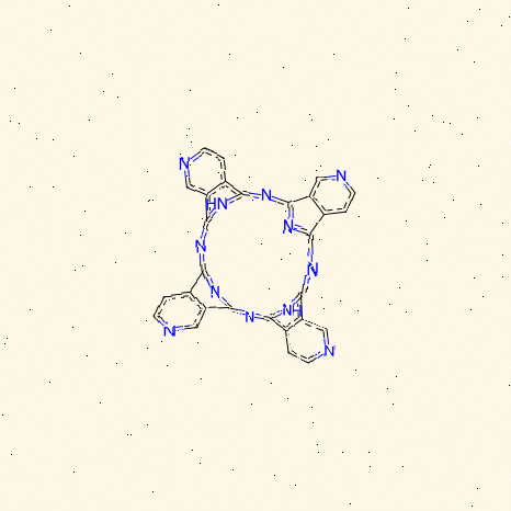 c1cc2c(cn1)-c1nc-2nc2[nH]c(nc3nc(nc4[nH]c(n1)c1ccncc41)-c1ccncc1-3)c1ccncc21